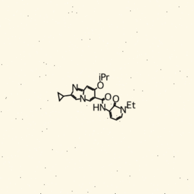 CCn1cccc(NC(=O)c2cn3cc(C4CC4)nc3cc2OC(C)C)c1=O